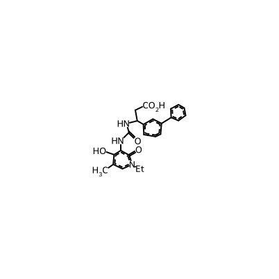 CCn1cc(C)c(O)c(NC(=O)NC(CC(=O)O)c2cccc(-c3ccccc3)c2)c1=O